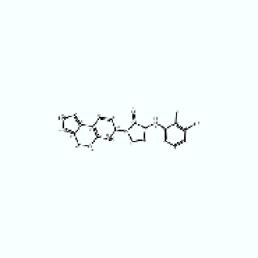 Cc1c(F)cccc1NC1CCN(C2C=CC3=C(N2)OCc2n[nH]cc23)C1=O